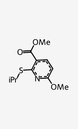 COC(=O)c1ccc(OC)nc1SC(C)C